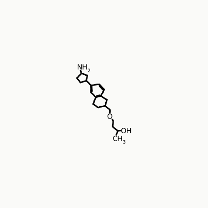 CC(O)CCOCC1CCc2cc(C3CCC(N)C3)ccc2C1